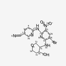 N#Cc1ccc(Nc2nc(NC3COCCC3O)c(Br)cc2[N+](=O)[O-])nc1